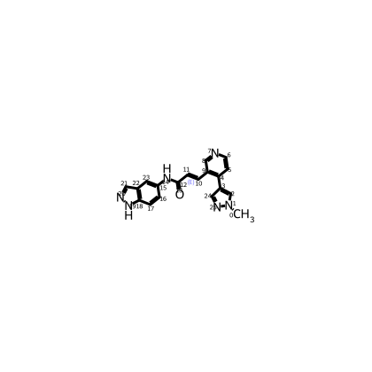 Cn1cc(-c2ccncc2/C=C/C(=O)Nc2ccc3[nH]ncc3c2)cn1